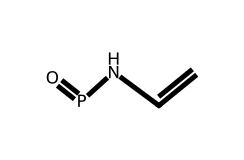 C=CNP=O